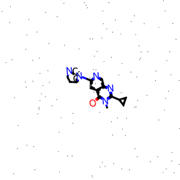 Cn1c(C2CC2)nc2cnc(N3CCN4CCC3CC4)cc2c1=O